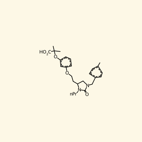 CCCN1C(=O)N(Cc2ccc(C)cc2)CC1CCOc1cccc(OC(C)(C)C(=O)O)c1